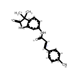 CC1(C)C(=O)Nc2cc(NC(=O)/C=C/c3ccc(C#N)cc3)ccc21